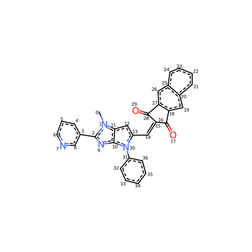 Cn1c(-c2cccnc2)nc2c1cc(C=C1C(=O)c3cc4ccccc4cc3C1=O)n2-c1ccccc1